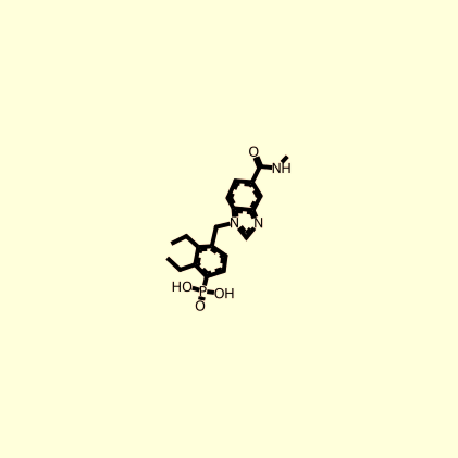 CCc1c(Cn2cnc3cc(C(=O)NC)ccc32)ccc(P(=O)(O)O)c1CC